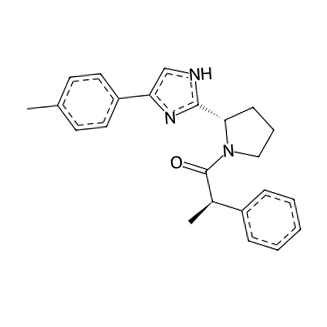 Cc1ccc(-c2c[nH]c([C@@H]3CCCN3C(=O)[C@H](C)c3ccccc3)n2)cc1